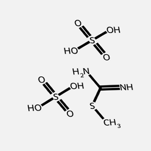 CSC(=N)N.O=S(=O)(O)O.O=S(=O)(O)O